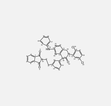 O=C1c2ccccc2C(=O)N1CCc1cccc(N2C(=O)N(c3cc(Cl)ccc3Cl)Cc3cnc(Nc4ccccc4)nc32)c1